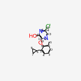 Cc1cccc(C2CC2)c1Oc1ncc(Cl)nc1O